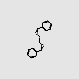 C(=N/CC/N=C\c1ccccc1)/c1ccccc1